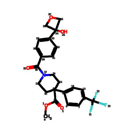 COC(=O)C1(c2ccc(C(F)(F)F)cc2)CCN(C(=O)c2ccc(C3(O)COC3)cc2)CC1